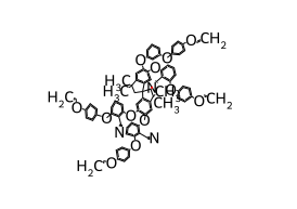 C=COc1ccc(Oc2cccc(Oc3cc4c(cc3Oc3cccc(Oc5ccc(OC=C)cc5)c3C#N)C3(CC4(C)C)CC(C)(C)c4cc(Oc5cccc(Oc6ccc(OC=C)cc6)c5C#N)c(Oc5cccc(Oc6ccc(OC=C)cc6)c5C#N)cc43)c2)cc1